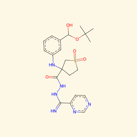 CC(C)(C)OC(O)c1cccc(NC2(C(=O)NNC(=N)c3ccncn3)CCS(=O)(=O)C2)c1